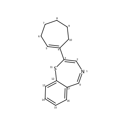 C1=NC=C(C2=CCCCCC2)Sc2ccccc21